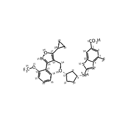 O=C(O)c1cc(F)c2nc(N[C@@H]3CC[C@H](OCc4c(-c5ccccc5OC(F)(F)F)noc4C4CC4)C3)sc2c1